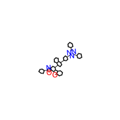 c1ccc(-c2nc(-c3ccccc3)nc(-c3ccc(-c4ccc(-c5cc6nc(-c7ccccc7)oc6c6oc7ccccc7c56)c5ccccc45)cc3)n2)cc1